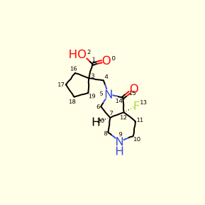 O=C(O)C1(CN2C[C@@H]3CNCC[C@]3(F)C2=O)CCCC1